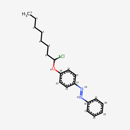 CCCCCCCC(Cl)Oc1ccc(N=Nc2ccccc2)cc1